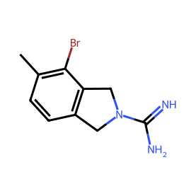 Cc1ccc2c(c1Br)CN(C(=N)N)C2